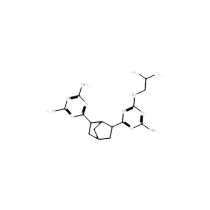 CC(O)CNc1nc(N)nc(C2CC3CC(c4nc(N)nc(N)n4)C2C3)n1